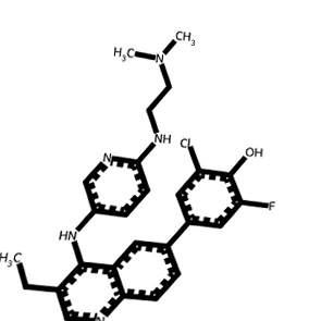 CCc1cnc2ccc(-c3cc(F)c(O)c(Cl)c3)cc2c1Nc1ccc(NCCN(C)C)nc1